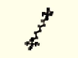 FC(F)(F)SCCCCCCSC(F)(F)F